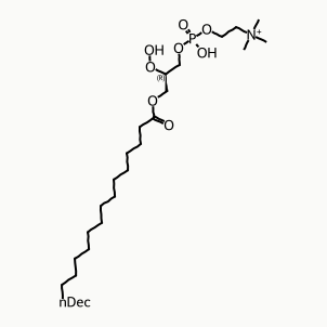 CCCCCCCCCCCCCCCCCCCCCCCC(=O)OC[C@H](COP(=O)(O)OCC[N+](C)(C)C)OO